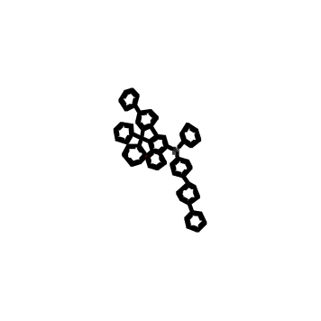 c1ccc(-c2ccc(-c3ccc(N(c4ccccc4)c4cc5c(c6ccccc46)C(c4ccccc4)(c4ccccc4)c4cc(-c6ccccc6)ccc4-5)cc3)cc2)cc1